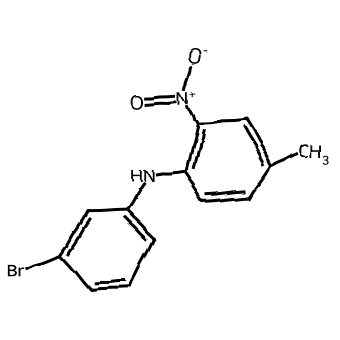 Cc1ccc(Nc2cccc(Br)c2)c([N+](=O)[O-])c1